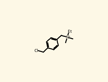 CC[N+](C)(C)Cc1ccc(CCl)cc1